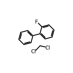 ClCCl.Fc1ccccc1-c1ccccc1